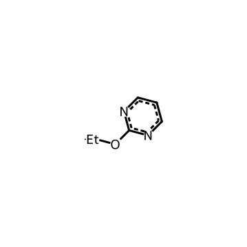 C[CH]Oc1ncccn1